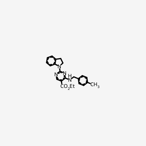 CCOC(=O)c1cnc(N2CCc3ccccc32)nc1NCc1ccc(C)cc1